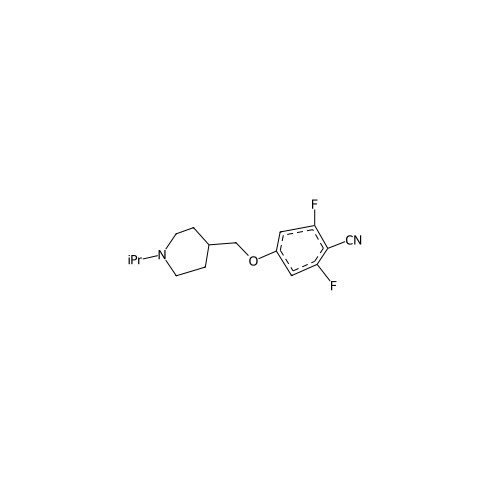 CC(C)N1CCC(COc2cc(F)c(C#N)c(F)c2)CC1